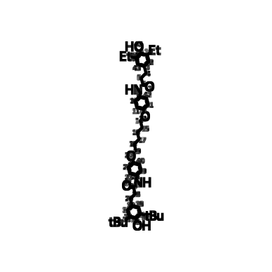 CCc1cc(CCC(=O)Nc2ccc(OCCCCCCOc3ccc(NC(=O)CCc4cc(C(C)(C)C)c(O)c(C(C)(C)C)c4)cc3)cc2)cc(CC)c1O